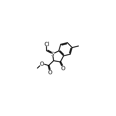 COC(=O)C1C(=O)c2cc(C)ccc2S1=CCl